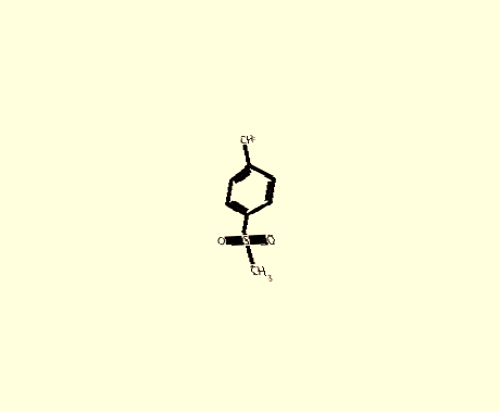 [CH]c1ccc(S(C)(=O)=O)cc1